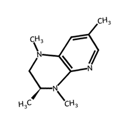 Cc1cnc2c(c1)N(C)C[C@H](C)N2C